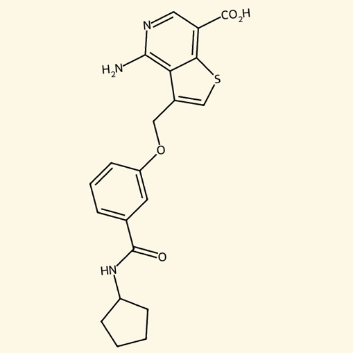 Nc1ncc(C(=O)O)c2scc(COc3cccc(C(=O)NC4CCCC4)c3)c12